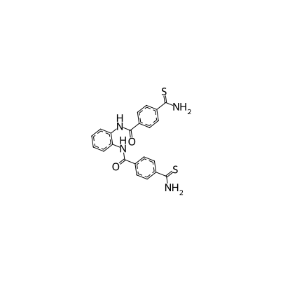 NC(=S)c1ccc(C(=O)Nc2ccccc2NC(=O)c2ccc(C(N)=S)cc2)cc1